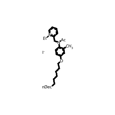 CCCCCCCCCCCCCCCCOc1ccc(N(Cc2cccc[n+]2CC)C(C)=O)c(C)c1.[I-]